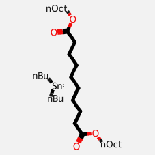 CCCCCCCCOC(=O)CCCCCCCCC(=O)OCCCCCCCC.CCC[CH2][Sn][CH2]CCC